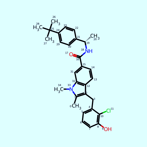 Cc1c(Cc2cccc(O)c2Cl)c2ccc(C(=O)N[C@@H](C)c3ccc(C(C)(C)C)cc3)cc2n1C